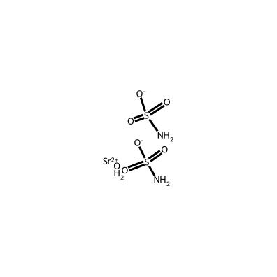 NS(=O)(=O)[O-].NS(=O)(=O)[O-].O.[Sr+2]